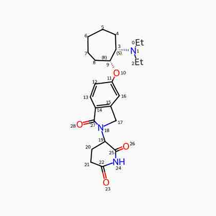 CCN(CC)[C@H]1CCCCC[C@H]1Oc1ccc2c(c1)CN(C1CCC(=O)NC1=O)C2=O